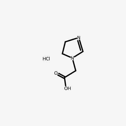 Cl.O=C(O)CN1C=NCC1